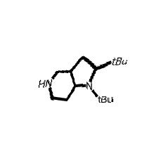 CC(C)(C)C1CC2CNCCC2N1C(C)(C)C